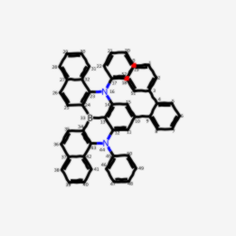 c1ccc(-c2ccccc2-c2cc3c4c(c2)N(c2ccccc2)c2c(ccc5ccccc25)B4c2ccc4ccccc4c2N3c2ccccc2)cc1